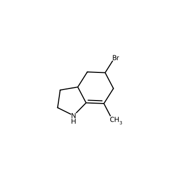 CC1=C2NCCC2CC(Br)C1